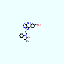 C=C(C#N)C(=O)N(CCn1nc(-c2ccc(CO)cc2)c2c(N)ncnc21)c1ccccc1